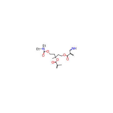 C=C(C)C(=O)OC(C)(CCOC(=O)C(=C)C=N)CCOC(=O)N(CC)CC